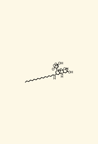 CCCCCCCCCCCCCCCCNC(CNC(CC(=O)O)C(=O)O)CC(=O)NC(CC(=O)O)C(=O)O